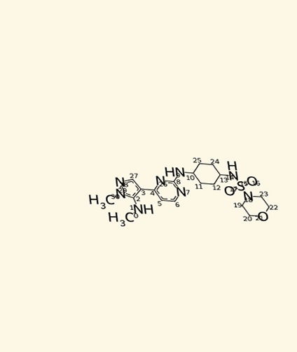 CNc1c(-c2ccnc(NC3CCC(NS(=O)(=O)N4CCOCC4)CC3)n2)cnn1C